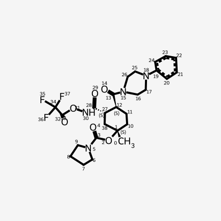 C[C@]1(OC(=O)N2CCCC2)CC[C@H](C(=O)N2CCN(c3ccccc3)CC2)[C@@H](C(=O)NOC(=O)C(F)(F)F)C1